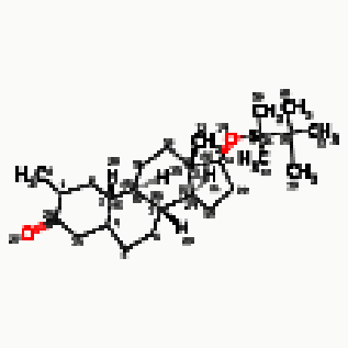 CC1C[C@H]2C(CC[C@@H]3[C@@H]2CC[C@]2(C)[C@@H](O[Si](C)(C)C(C)(C)C)CC[C@@H]32)CC1=O